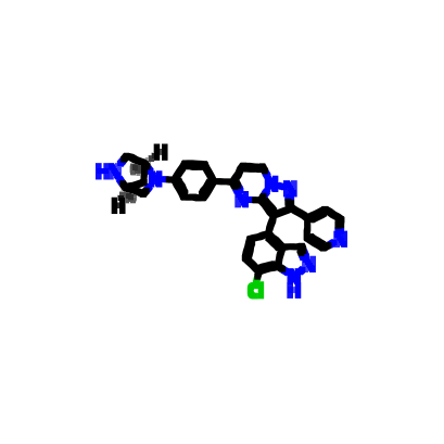 Clc1ccc(-c2c(-c3ccncc3)nn3ccc(-c4ccc(N5C[C@@H]6C[C@H]5CN6)cc4)nc23)c2cn[nH]c12